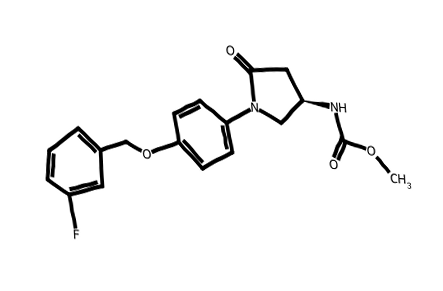 COC(=O)N[C@@H]1CC(=O)N(c2ccc(OCc3cccc(F)c3)cc2)C1